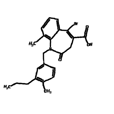 CCCc1cc(CN2C(=O)CC(C(=O)O)=C(Br)c3cccc(C)c32)ccc1C